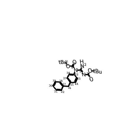 CC(C)(C)OC(=O)N=C(N)N(C(=O)OC(C)(C)C)c1ccc(Cc2ccccc2)cc1